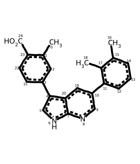 Cc1cc(-c2c[nH]c3ncc(-c4cccc(C)c4C)cc23)ccc1C(=O)O